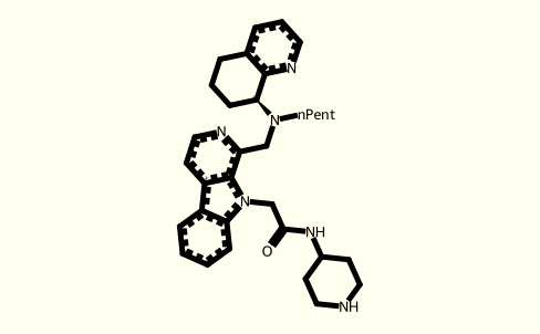 CCCCCN(Cc1nccc2c3ccccc3n(CC(=O)NC3CCNCC3)c12)[C@H]1CCCc2cccnc21